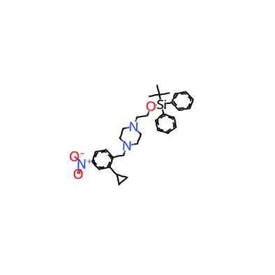 CC(C)(C)[Si](OCCN1CCN(Cc2ccc([N+](=O)[O-])cc2C2CC2)CC1)(c1ccccc1)c1ccccc1